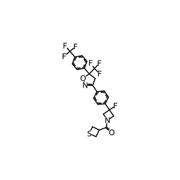 O=C(C1CSC1)N1CC(F)(c2ccc(C3=NOC(c4ccc(C(F)(F)F)cc4)(C(F)(F)F)C3)cc2)C1